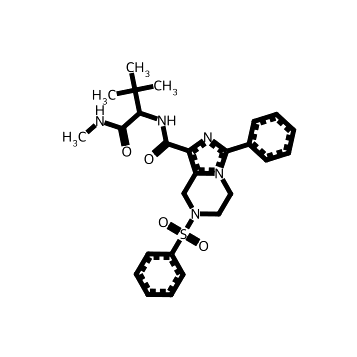 CNC(=O)C(NC(=O)c1nc(-c2ccccc2)n2c1CN(S(=O)(=O)c1ccccc1)CC2)C(C)(C)C